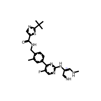 CN/C=C(\C=N)Nc1ncc(F)c(-c2ccc(CNC(=O)c3cnc(C(C)(C)C)s3)c(C)c2)n1